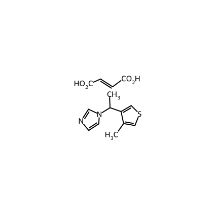 Cc1cscc1C(C)n1ccnc1.O=C(O)/C=C/C(=O)O